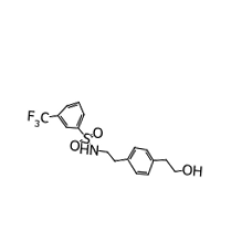 O=S(=O)(NCCc1ccc(CCO)cc1)c1cccc(C(F)(F)F)c1